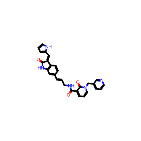 O=C1Nc2cc(/C=C/CNC(=O)c3cccn(Cc4cccnc4)c3=O)ccc2/C1=C/c1ccc[nH]1